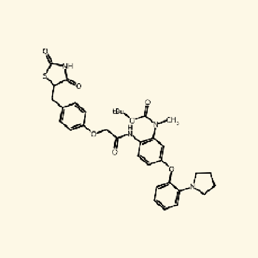 CN(C(=O)OC(C)(C)C)c1cc(Oc2ccccc2N2CCCC2)ccc1NC(=O)COc1ccc(CC2SC(=O)NC2=O)cc1